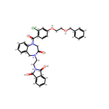 O=C1CN(C(=O)c2ccc(OCCOCc3ccccc3)cc2Cl)c2ccccc2CN1CCN1C(=O)c2ccccc2C1=O